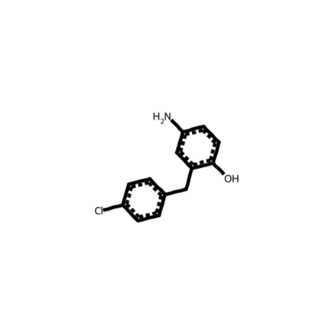 Nc1ccc(O)c(Cc2ccc(Cl)cc2)c1